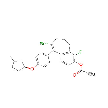 CC1CC[C@H](Oc2ccc(C3=C(Br)CCCc4c3ccc(OC(=O)C(C)(C)C)c4F)cc2)C1